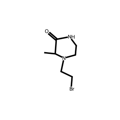 CC1C(=O)NCCN1CCBr